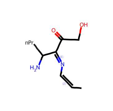 C/C=C\N=C(\C(=O)CO)C(N)CCC